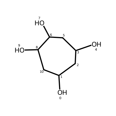 OC1CC(O)CC(O)C(O)C1